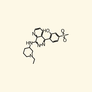 CCN1CCCC(Nc2nnc(-c3ccc(S(C)(=O)=O)cc3O)c3cccnc23)C1